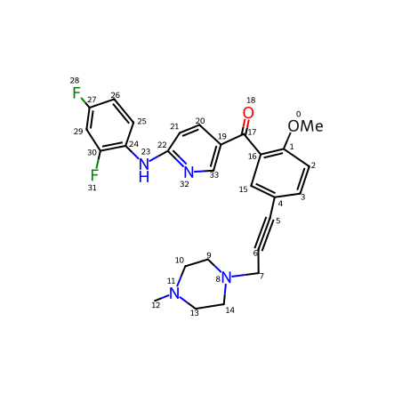 COc1ccc(C#CCN2CCN(C)CC2)cc1C(=O)c1ccc(Nc2ccc(F)cc2F)nc1